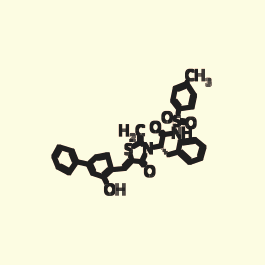 C=c1s/c(=C\c2ccc(-c3ccccc3)cc2O)c(=O)n1[C@@H](Cc1ccccc1)C(=O)NS(=O)(=O)c1ccc(C)cc1